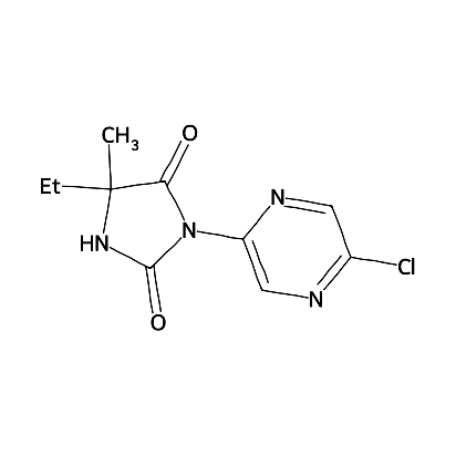 CCC1(C)NC(=O)N(c2cnc(Cl)cn2)C1=O